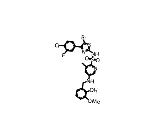 COc1cccc(CNc2cnc(S(=O)(=O)Nc3nc(-c4ccc(Cl)c(F)c4)c(Br)s3)c(C)c2)c1O